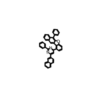 c1ccc(-c2nc(-c3ccc4ccccc4c3)cc(-c3cccc4oc5c(-c6ccccc6)c6ccccc6cc5c34)n2)cc1